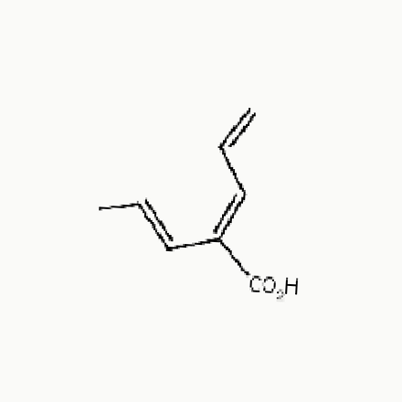 C=CC=C(C=CC)C(=O)O